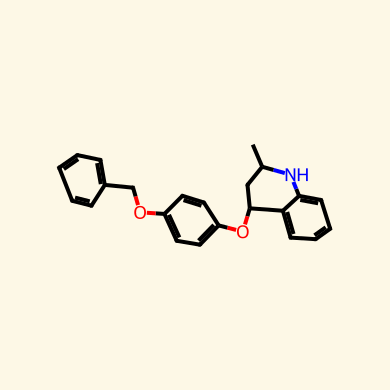 CC1CC(Oc2ccc(OCc3ccccc3)cc2)c2ccccc2N1